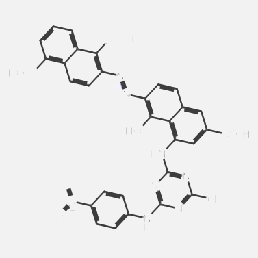 O=[SH](=O)c1ccc(Nc2nc(Cl)nc(Nc3cc(S(=O)(=O)O)cc4ccc(/N=N/c5ccc6c(S(=O)(=O)O)cccc6c5S(=O)(=O)O)c(O)c34)n2)cc1